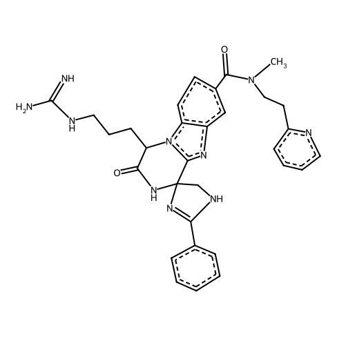 CN(CCc1ccccn1)C(=O)c1ccc2c(c1)nc1n2C(CCCNC(=N)N)C(=O)NC12CNC(c1ccccc1)=N2